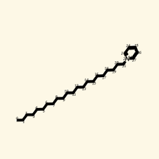 CCCCCCCCCCCCCCCCCCCCCC[n+]1ccccc1